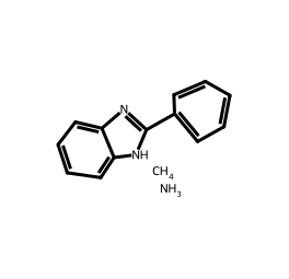 C.N.c1ccc(-c2nc3ccccc3[nH]2)cc1